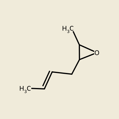 CC=CCC1OC1C